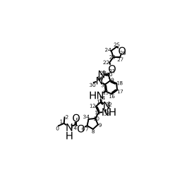 CC(C)NC(=O)OC1CCC(c2cc(Nc3cccc4c(OCC5CCOC5)nn(C)c34)n[nH]2)C1